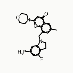 Cc1cc(CN2CCc3c(F)cc(P)cc32)c2oc(N3CCOCC3)cc(=O)c2c1